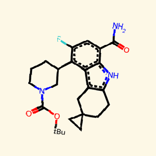 CC(C)(C)OC(=O)N1CCCC(c2c(F)cc(C(N)=O)c3[nH]c4c(c23)CC2(CC4)CC2)C1